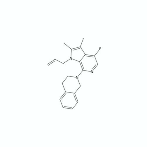 C=CCn1c(C)c(C)c2c(F)cnc(N3CCc4ccccc4C3)c21